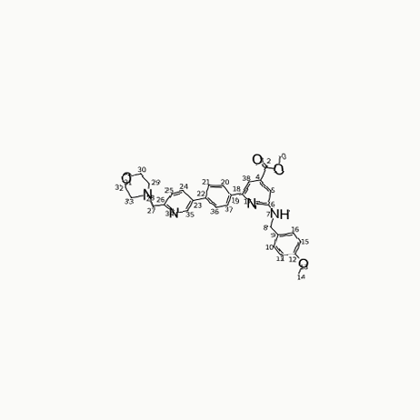 COC(=O)c1cc(NCc2ccc(OC)cc2)nc(-c2ccc(-c3ccc(CN4CCOCC4)nc3)cc2)c1